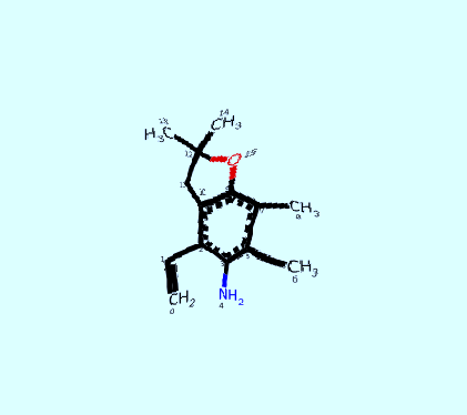 C=Cc1c(N)c(C)c(C)c2c1CC(C)(C)O2